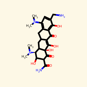 CN(C)c1cc(CN)c(O)c2c1CC1CC3[C@H](N(C)C)C(O)C(C(N)=O)C(=O)[C@@]3(O)C(O)=C1C2=O